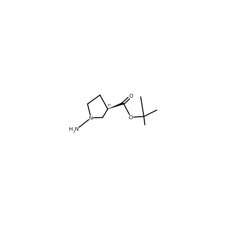 CC(C)(C)OC(=O)[C@@H]1CCN(N)C1